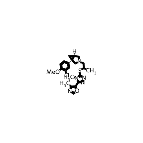 COc1ccc([C@]23C[C@H]2CN(CC(C)Sc2nnc(-c4ocnc4C)n2C)C3)cc1Cl